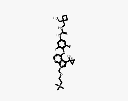 C[Si](C)(C)CCOCn1cc(C2(C(F)(F)F)CC2)c2c(Oc3c(F)cc(NC(=S)NCC4(CO)CCC4)cc3F)ccnc21